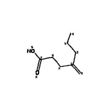 C=C(CCC)CCC(=O)O